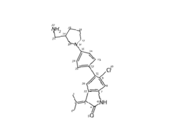 CC(C)=C1C(=O)Nc2cc(Cl)c(-c3ccc(N4CCCC(CN)C4)cc3)cc21